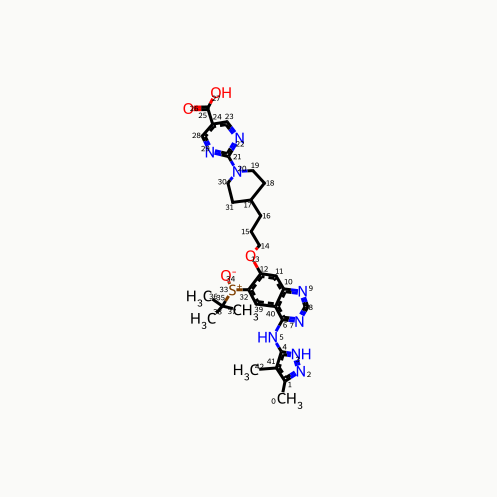 Cc1n[nH]c(Nc2ncnc3cc(OCCCC4CCN(c5ncc(C(=O)O)cn5)CC4)c([S+]([O-])C(C)(C)C)cc23)c1C